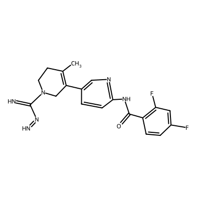 CC1=C(c2ccc(NC(=O)c3ccc(F)cc3F)nc2)CN(C(=N)N=N)CC1